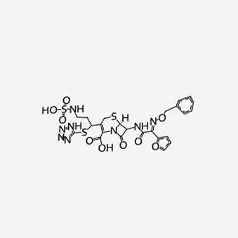 O=C(O)C1=C(C(CCNS(=O)(=O)O)Sc2nnn[nH]2)CS[C@H]2C(NC(=O)C(=NOCc3ccccc3)c3ccco3)C(=O)N12